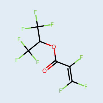 O=C(OC(C(F)(F)F)C(F)(F)F)C(F)=C(F)F